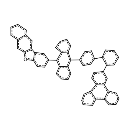 c1ccc(-c2ccc3c4ccccc4c4ccccc4c3c2)c(-c2ccc(-c3c4ccccc4c(-c4ccc5oc6cc7ccccc7cc6c5c4)c4ccccc34)cc2)c1